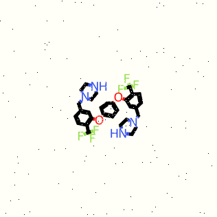 FC(F)(F)c1ccc(CN2CCNCC2)cc1Oc1ccc(Oc2cc(CN3CCNCC3)ccc2C(F)(F)F)cc1